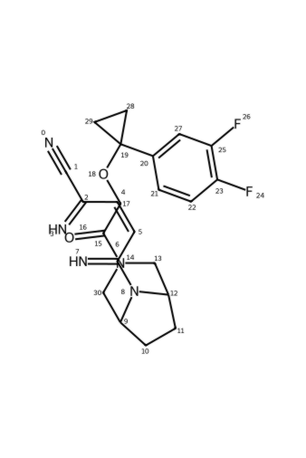 N#CC(=N)/C=C\C(=N)N1C2CCC1CN(C(=O)COC1(c3ccc(F)c(F)c3)CC1)C2